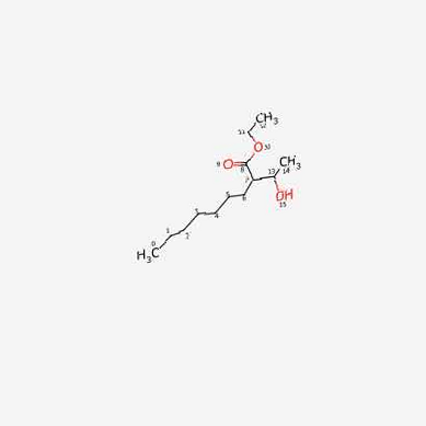 CCCCCCCC(C(=O)OCC)C(C)O